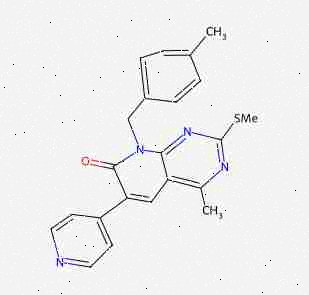 CSc1nc(C)c2cc(-c3ccncc3)c(=O)n(Cc3ccc(C)cc3)c2n1